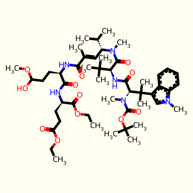 CCOC(=O)CC[C@@H](NC(=O)[C@@H](CCC(O)OC)NC(=O)/C(C)=C/[C@H](C(C)C)N(C)C(=O)[C@@H](NC(=O)[C@@H](N(C)C(=O)OC(C)(C)C)C(C)(C)c1cn(C)c2ccccc12)C(C)(C)C)C(=O)OCC